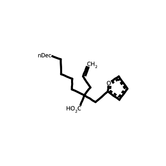 C=CCC(CCCCCCCCCCCCCC)(Cc1ccco1)C(=O)O